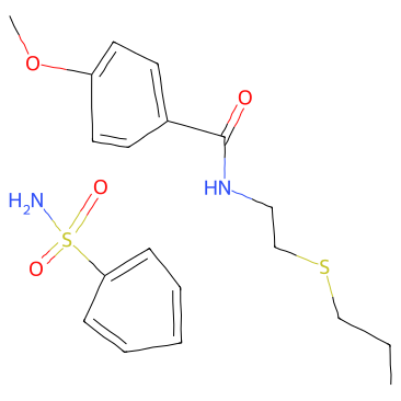 CCCSCCNC(=O)c1ccc(OC)cc1.NS(=O)(=O)c1ccccc1